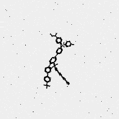 C#CC#CC#CC#CC1(C)c2cc(-c3ccc(N(c4ccc(C)cc4)c4ccc(C(C)CC)cc4)cc3)ccc2-c2ccc(-c3ccc(C(C)(C)C)cc3)cc21